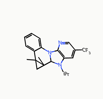 CC(C)N1c2cc(C(F)(F)F)cnc2N2c3ccccc3C3(C)CC3(C)C21